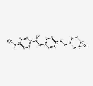 O=C(Oc1ccc(OCC2CCC3OC3C2)cc1)c1ccc(OC(F)(F)F)cc1